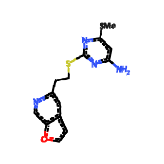 CSc1cc(N)nc(SCCc2cc3ccoc3cn2)n1